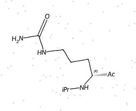 CC(=O)[C@@H](CCCNC(N)=O)NC(C)C